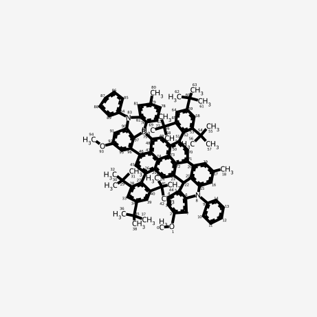 COc1ccc2c(c1)N(c1ccccc1)c1cc(C)cc3c1C2c1cc2c(-c4c(C(C)(C)C)cc(C(C)(C)C)cc4C(C)(C)C)cc4c5c(cc6c(-c7c(C(C)(C)C)cc(C(C)(C)C)cc7C(C)(C)C)cc-3c1c6c25)B1c2ccc(C)cc2N(c2ccccc2)c2cc(OC)cc-4c21